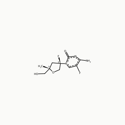 C[C@@]1(CO)C[C@](F)(n2cc(F)c(N)nc2=O)CO1